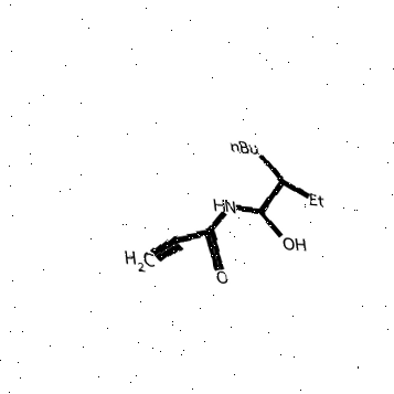 C=CC(=O)NC(O)C(CC)CCCC